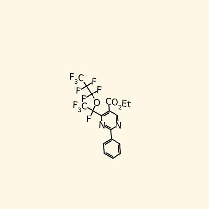 CCOC(=O)c1cnc(-c2ccccc2)nc1C(F)(OC(F)(F)C(F)(F)C(F)(F)F)C(F)(F)F